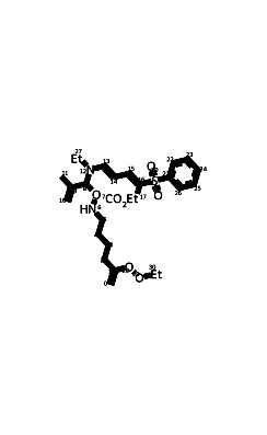 C=C(CCCCNOC(C(=C)C)N(C=CC=C(C(=O)OCC)S(=O)(=O)c1ccccc1)CC)OOCC